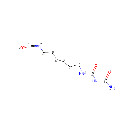 NC(=O)NC(=O)NCCCCCCN=C=O